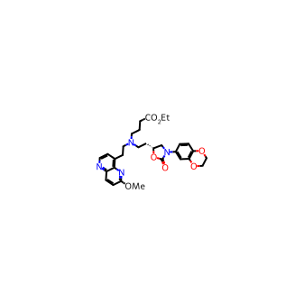 CCOC(=O)CCCN(CCc1ccnc2ccc(OC)nc12)CC[C@@H]1CN(c2ccc3c(c2)OCCO3)C(=O)O1